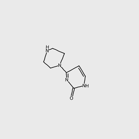 O=c1nc(N2CCNCC2)cc[nH]1